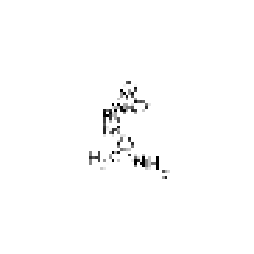 Cc1cc(-c2cc(Nc3ccccc3-c3ccccn3)ncn2)ccc1CN